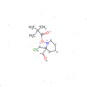 CC(C)(C)C(=O)ON1CCCCC1(C=O)CCl